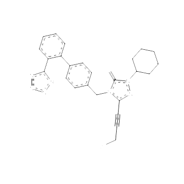 CCC#Cc1nn(C2CCCCC2)c(=O)n1Cc1ccc(-c2ccccc2-c2nnn[nH]2)cc1